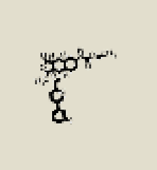 CCOC(=O)N[C@H]1CC[C@@H]2[C@H](C1)C[C@H]1C(=O)O[C@H](C)[C@H]1[C@H]2/C=C/c1ccc(-c2cccc(F)c2)cn1